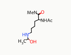 CNC(=O)C(CCCCNC(C)O)NC(C)=O